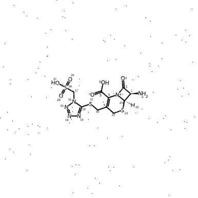 N[C@@H]1C(=O)N2C(C(=O)O)=C(CSc3nnnn3CS(=O)(=O)O)CS[C@H]12